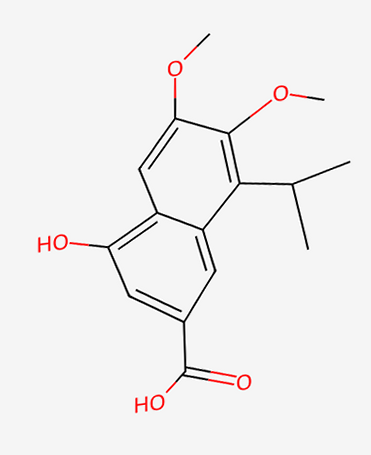 COc1cc2c(O)cc(C(=O)O)cc2c(C(C)C)c1OC